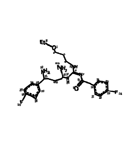 CCOCCCN/C(=N/C(=O)c1ccc(F)cc1)NC(N)CC(N)c1ccc(F)cc1